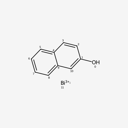 Oc1ccc2ccccc2c1.[Bi+3]